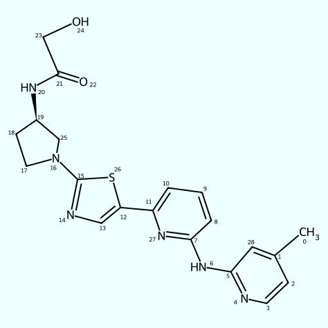 Cc1ccnc(Nc2cccc(-c3cnc(N4CC[C@@H](NC(=O)CO)C4)s3)n2)c1